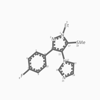 CCn1nc(-c2ccc(F)cc2)c(-n2ccnc2)c1SC